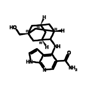 NC(=O)c1cnc2[nH]ccc2c1NC1[C@@H]2C[C@@H]3C[C@H]1C[C@@](CO)(C3)C2